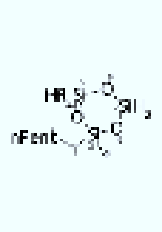 CCCCCC[Si]1(C)O[SiH2]O[SiH2]O1.F